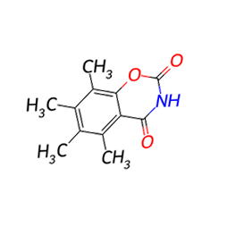 Cc1c(C)c(C)c2c(=O)[nH]c(=O)oc2c1C